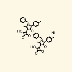 Cc1ccc(-n2c(=O)c(-c3c(O)c(=O)c3=O)c(C)n2Cc2ccccc2)cc1.Cc1ccc(-n2c(=O)c(-c3c(O)c(=O)c3=O)c(C)n2Cc2ccccc2)cc1.[Ni]